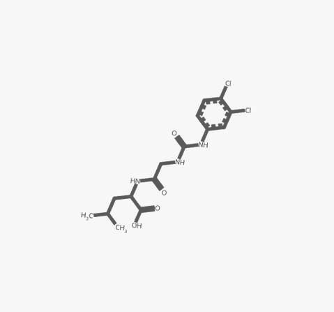 CC(C)CC(NC(=O)CNC(=O)Nc1ccc(Cl)c(Cl)c1)C(=O)O